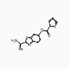 N=C(N)c1nc2ccc(OC(=O)c3cccs3)cc2s1